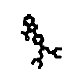 CCN(CC)CCN(CCN(CC)CC)c1ccc(-c2nc3cncnc3n2C(C)=O)cc1